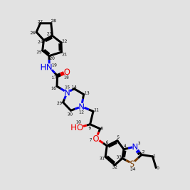 CCc1nc2cc(OCC(O)CN3CCN(CC(=O)Nc4ccc5c(c4)CCC5)CC3)ccc2s1